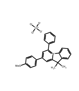 COc1ccc(-c2cc(-c3ccccc3)[n+]3c(c2)C(C)(C)c2ccccc2-3)cc1.[O-][Cl+3]([O-])([O-])[O-]